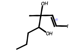 CCCC(O)C(C)(O)/C=C/I